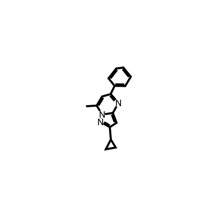 Cc1cc(-c2ccccc2)nc2cc(C3CC3)nn12